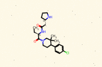 CC[C@@H](NC(=O)C[C@@H]1CCCN1)C(=O)N1CCC(c2ccc(Cl)cc2)C(C)(C)C1